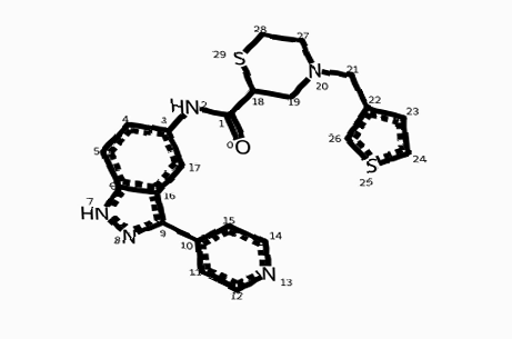 O=C(Nc1ccc2[nH]nc(-c3ccncc3)c2c1)C1CN(Cc2ccsc2)CCS1